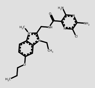 CCCOc1ccc2c(c1)n(CC)c(CNC(=O)c1nc(Cl)c(N)nc1N)[n+]2C